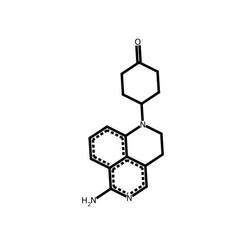 Nc1ncc2c3c(cccc13)N(C1CCC(=O)CC1)CC2